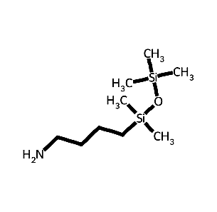 C[Si](C)(C)O[Si](C)(C)CCCCN